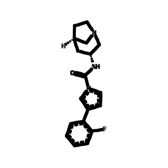 O=C(N[C@@H]1C[C@H]2CCN(C2)C1)n1ccc(-c2ccccc2F)c1